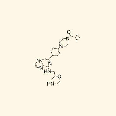 O=C(C1CCC1)N1CCN(c2ccc(-c3cc4nccnc4c(NC[C@@H]4CNCCO4)n3)cc2)CC1